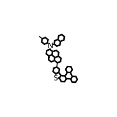 Cc1ccc(N(c2ccc3ccccc3c2)c2ccc3ccc4c(-c5ccc6sc7ccc8c9ccccc9c9ccccc9c8c7c6c5)ccc5ccc2c3c54)cc1